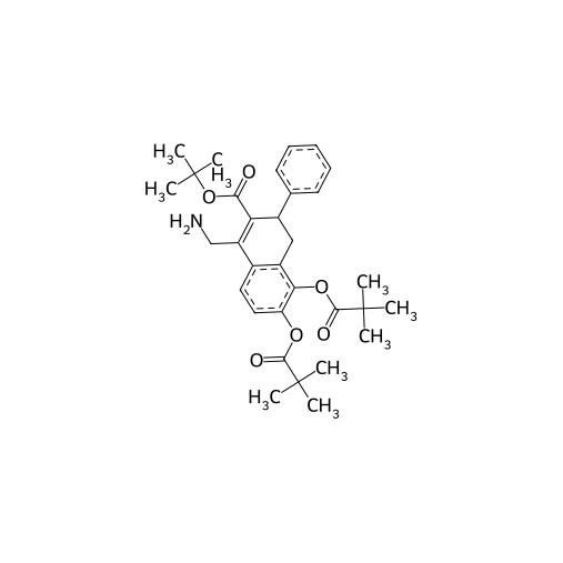 CC(C)(C)OC(=O)C1=C(CN)c2ccc(OC(=O)C(C)(C)C)c(OC(=O)C(C)(C)C)c2CC1c1ccccc1